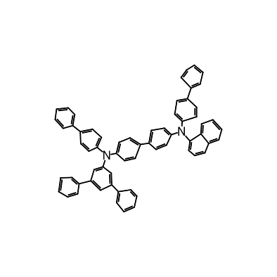 c1ccc(-c2ccc(N(c3ccc(-c4ccc(N(c5ccc(-c6ccccc6)cc5)c5cccc6ccccc56)cc4)cc3)c3cc(-c4ccccc4)cc(-c4ccccc4)c3)cc2)cc1